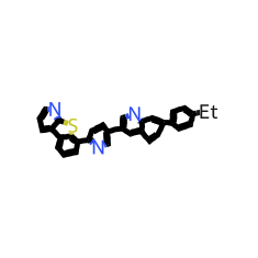 CCc1ccc(-c2ccc3cc(-c4ccc(-c5cccc6c5sc5ncccc56)nc4)cnc3c2)cc1